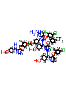 Nc1ncc(Oc2ccc(Cl)cc2Cl)c(N[C@H]2CC[C@H](O)CC2)n1.O[C@H]1CC[C@H](Nc2ncncc2Oc2ccc(C(F)(F)F)cc2)CC1.O[C@H]1CC[C@H](Nc2ncncc2Oc2ccc(Cl)cc2Cl)CC1.O[C@H]1CC[C@H](Nc2ncncc2Oc2ccc(Cl)cc2F)CC1